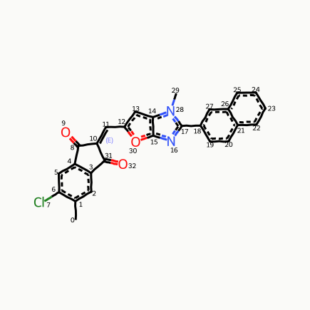 Cc1cc2c(cc1Cl)C(=O)/C(=C/c1cc3c(nc(-c4ccc5ccccc5c4)n3C)o1)C2=O